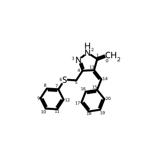 C=c1[nH]nc(CSc2ccccc2)c1=Cc1ccccc1